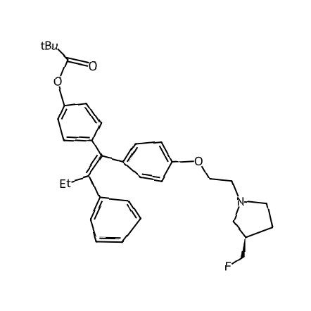 CC/C(=C(/c1ccc(OCCN2CC[C@@H](CF)C2)cc1)c1ccc(OC(=O)C(C)(C)C)cc1)c1ccccc1